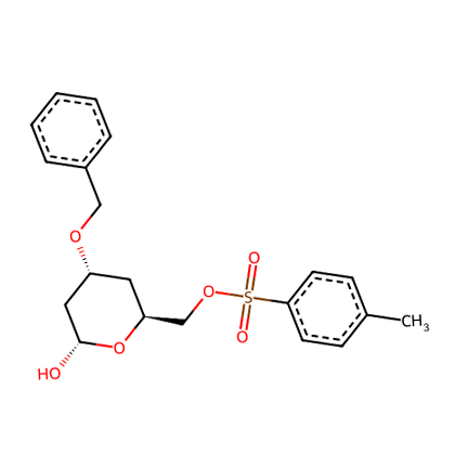 Cc1ccc(S(=O)(=O)OC[C@@H]2C[C@@H](OCc3ccccc3)C[C@@H](O)O2)cc1